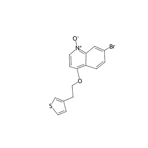 [O-][n+]1ccc(OCCc2ccsc2)c2ccc(Br)cc21